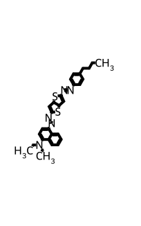 CCCCc1ccc(N=NC2=CC3SC(N=Nc4ccc(N(CC)CC)c5ccccc45)=CC3S2)cc1